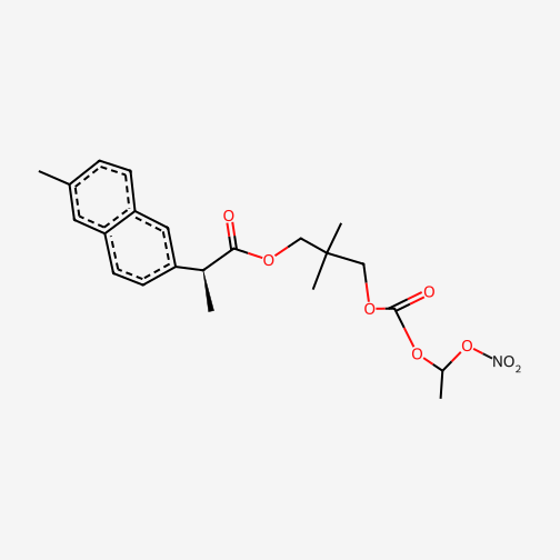 Cc1ccc2cc([C@H](C)C(=O)OCC(C)(C)COC(=O)OC(C)O[N+](=O)[O-])ccc2c1